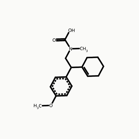 COc1ccc(C(CN(C)C(=O)O)C2=CCCCC2)cc1